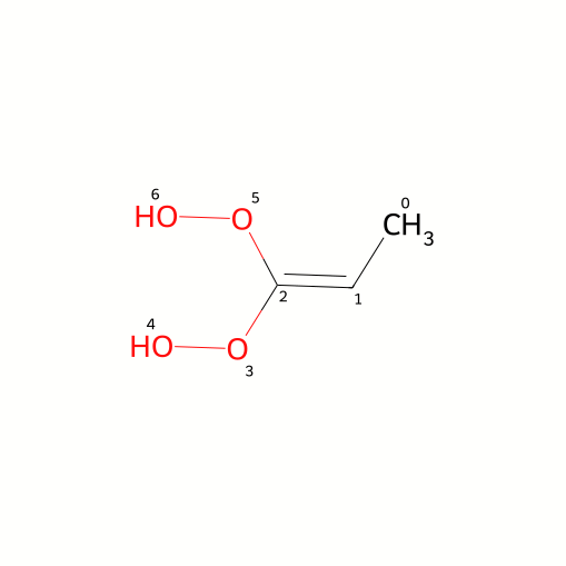 CC=C(OO)OO